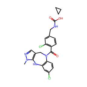 C1CC1.Cn1ncc2c1Nc1cc(Cl)ccc1N(C(=O)c1ccc(CNC(=O)O)cc1Cl)C2